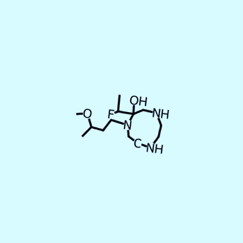 COC(C)CCN1CCNCCNCC1(O)C(C)F